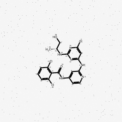 CCc1cc(Nc2cc(NC(=O)c3c(Cl)cccc3Cl)ccn2)nc(N[C@H](C)CO)n1